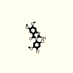 COc1cc(-n2c(S)nc3cc(OC)c(OC)cc3c2=O)c(Cl)cc1Cl